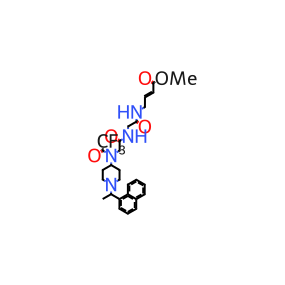 COC(=O)/C=C/CNC(=O)CNC(=O)CN(C(=O)C(F)(F)F)C1CCN(C(C)c2cccc3ccccc23)CC1